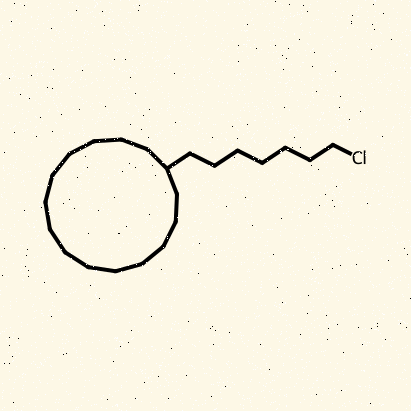 ClCCCCCCCC1CCCCCCCCCCCCCC1